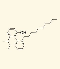 CCCCCCCCCCc1ccccc1-c1c(O)cccc1C(C)CC